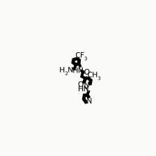 Cc1ccn(NCc2cccnc2)c(=O)c1CC(=O)NCc1cc(C(F)(F)F)ccc1CN